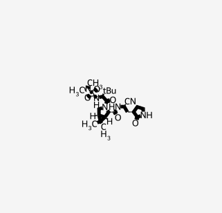 CN(C)S(=O)(=O)N[C@H](C(=O)N1C[C@H]2[C@@H]([C@H]1C(=O)N[C@H](C#N)C[C@@H]1CCNC1=O)C2(C)C)C(C)(C)C